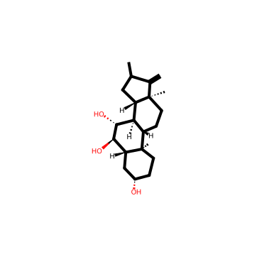 C=C1C(C)C[C@H]2[C@@H]3[C@@H](O)[C@H](O)[C@H]4C[C@@H](O)CC[C@]4(C)[C@H]3CC[C@]12C